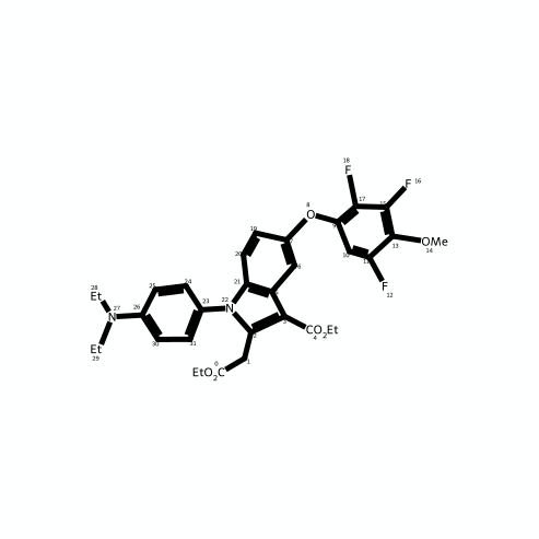 CCOC(=O)Cc1c(C(=O)OCC)c2cc(Oc3cc(F)c(OC)c(F)c3F)ccc2n1-c1ccc(N(CC)CC)cc1